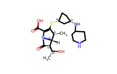 C[C@@H](O)[C@H]1C(=O)N2C(C(=O)O)=C(S[C@@H]3CC[C@H](NC4CCNCC4)C3)[C@H](C)[C@H]12